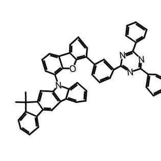 CC1(C)c2ccccc2-c2cc3c4ccccc4n(-c4cccc5c4oc4c(-c6cccc(-c7nc(-c8ccccc8)nc(-c8ccccc8)n7)c6)cccc45)c3cc21